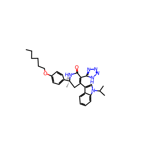 CCCCCCOc1ccc([C@]2(C)CC(c3cn(C(C)C)c4ccccc34)=C(c3nnn[nH]3)C(=O)N2)cc1